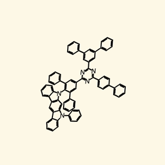 c1ccc(-c2ccc(-c3nc(-c4cc(-c5ccccc5)cc(-c5ccccc5)c4)nc(-c4cc(-c5ccccc5)c(-n5c6ccccc6c6cc7c8ccccc8n(-c8ccccc8)c7cc65)c(-c5ccccc5)c4)n3)cc2)cc1